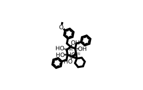 COc1cccc(C[C@@]2(O)[C@@H](O)[C@@](O)(Cc3ccccc3)[C@]3(O)C4(CCCCC4)[C@]3(O)[C@]2(O)Cc2ccccc2)c1